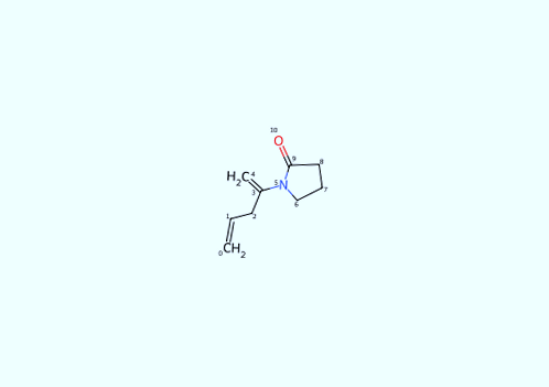 C=CCC(=C)N1CCCC1=O